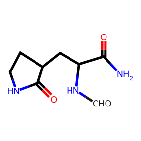 NC(=O)C(CC1CCNC1=O)NC=O